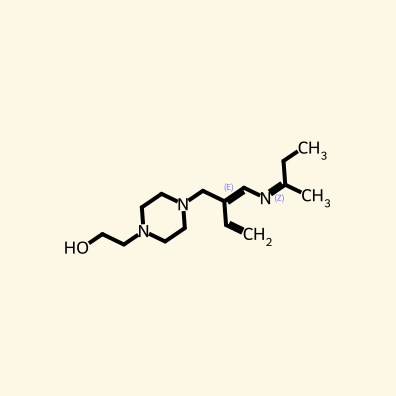 C=C/C(=C\N=C(\C)CC)CN1CCN(CCO)CC1